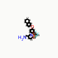 NCC1=C[N+](c2ccc(Oc3ccc4c(c3)CCCC4)cc2)(S(=O)(=O)C(F)(F)F)CC=C1